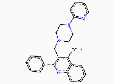 O=C(O)c1c(CN2CCN(c3ccccn3)CC2)c(-c2ccccc2)nc2ccccc12